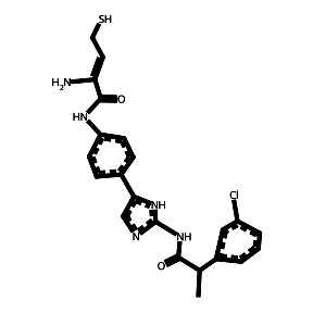 CC(C(=O)Nc1ncc(-c2ccc(NC(=O)/C(N)=C/CS)cc2)[nH]1)c1cccc(Cl)c1